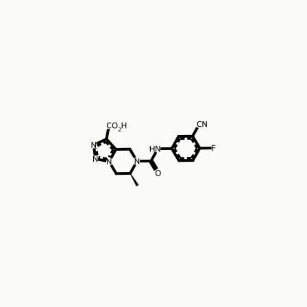 C[C@H]1Cn2nnc(C(=O)O)c2CN1C(=O)Nc1ccc(F)c(C#N)c1